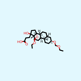 CCOCO[C@H]1CC[C@@]2(C)[C@H](CC[C@@H]3[C@@H]2CC[C@]2(C)C(O)(CCC(=O)O)CC[C@@]32OCOCC)C1